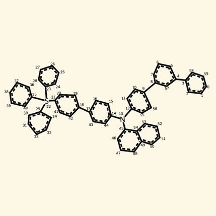 c1ccc(-c2cccc(-c3ccc(N(c4ccc(-c5ccc(S(c6ccccc6)(c6ccccc6)c6ccccc6)cc5)cc4)c4cccc5ccccc45)cc3)c2)cc1